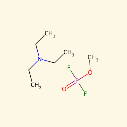 CCN(CC)CC.COP(=O)(F)F